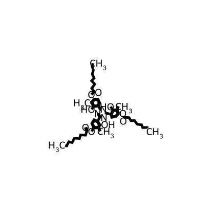 CCCCCCCCC(=O)Oc1ccc(-c2nc(-c3ccc(OC(=O)CCCCCCCC)c(C)c3O)nc(-c3ccc(OC(=O)CCCCCCCC)c(C)c3O)n2)c(O)c1C